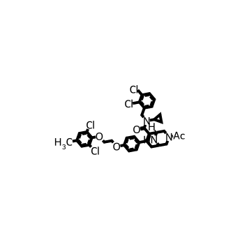 CC(=O)N1CC2CC(c3ccc(OCCOc4c(Cl)cc(C)cc4Cl)cc3)=C(C(=O)N(Cc3cccc(Cl)c3Cl)C3CC3)[C@@H](C1)N2